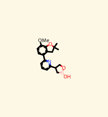 COc1ccc(-c2cccc(C3COB(O)C3)n2)c2c1OC(C)(C)C2